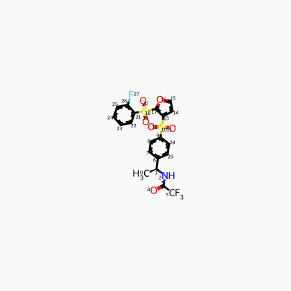 C[C@H](NC(=O)C(F)(F)F)c1ccc(S(=O)(=O)c2ccoc2S(=O)(=O)c2ccccc2F)cc1